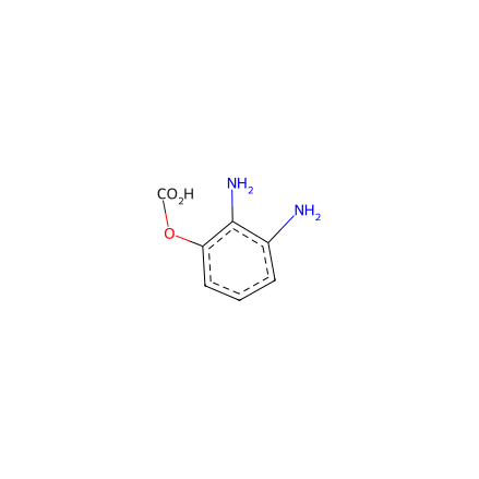 Nc1cccc(OC(=O)O)c1N